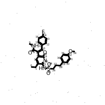 CCc1cc2c(C(=O)NC)c(-c3ccc(F)cc3)oc2nc1NS(=O)(=O)CCCc1ccc(OC)cc1